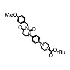 COc1ccc(CN2C(=O)CCN(c3ccc(N4CCN(C(=O)OC(C)(C)C)CC4)cc3)C2=O)cc1